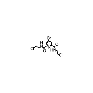 O=C(NCCCl)c1cc(Br)cc(C(=O)NCCCl)n1